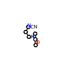 N#Cc1cc(-c2cccc(-c3cccc(-n4c5c(c6ccccc64)C=C4Oc6ccccc6C4C5)c3)c2)ccn1